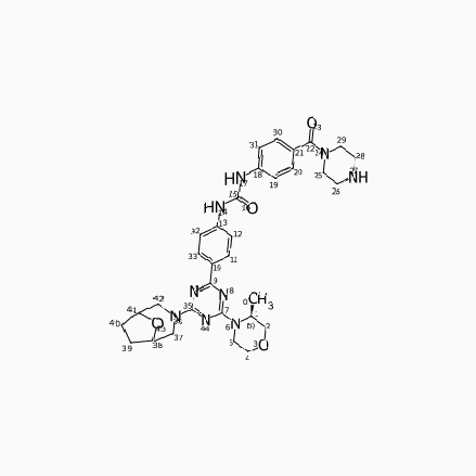 C[C@H]1COCCN1c1nc(-c2ccc(NC(=O)Nc3ccc(C(=O)N4CCNCC4)cc3)cc2)nc(N2CC3CCC(C2)O3)n1